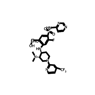 CN(C)[C@H]1CN(c2cc(C(F)(F)F)ccn2)CC[C@@H]1Nc1cc(F)c(S(=O)(=O)Nc2ccncn2)cc1Cl.O=CO